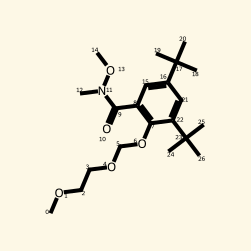 COCCOCOc1c(C(=O)N(C)OC)cc(C(C)(C)C)cc1C(C)(C)C